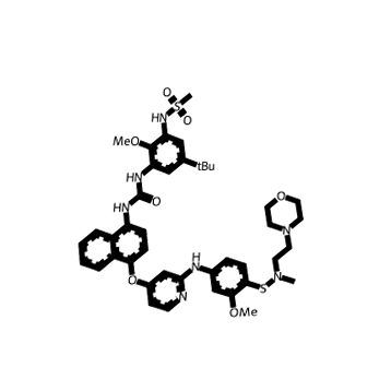 COc1cc(Nc2cc(Oc3ccc(NC(=O)Nc4cc(C(C)(C)C)cc(NS(C)(=O)=O)c4OC)c4ccccc34)ccn2)ccc1SN(C)CCN1CCOCC1